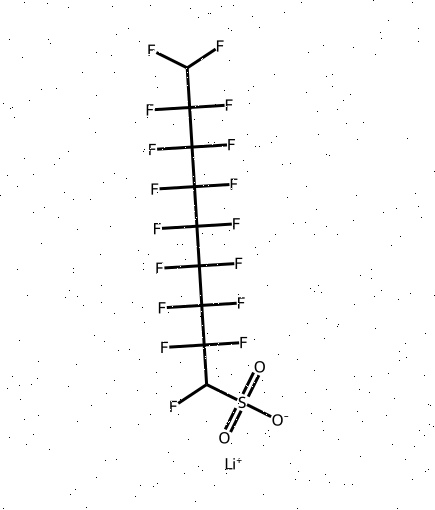 O=S(=O)([O-])C(F)C(F)(F)C(F)(F)C(F)(F)C(F)(F)C(F)(F)C(F)(F)C(F)(F)C(F)F.[Li+]